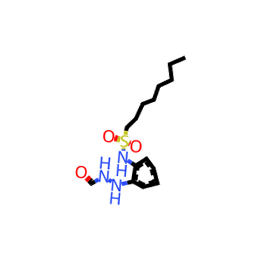 CCCCCCCCS(=O)(=O)Nc1ccccc1NNC=O